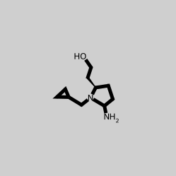 NC1CC[C@H](CCO)N1CC1CC1